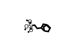 CO[Si](CCC1CC2=CCC1C2)(OC)OC